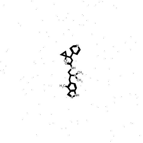 Cc1c(CC(CNC(=O)CC(c2ccncc2)C2(C(F)(F)F)CC2)N(C)C)ccc2[nH]ncc12